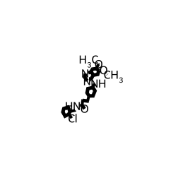 COc1cc2ncnc(Nc3ccc(C=CC(=O)NCc4ccccc4Cl)cc3)c2cc1OC